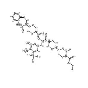 CCOC(=O)N1CCC(N2CCN(C(=O)C(Cc3cc(Cl)c(N)c(C(F)(F)F)c3)OC(=O)N3CCC(N4CCc5ccccc5NC4=O)CC3)CC2)CC1C